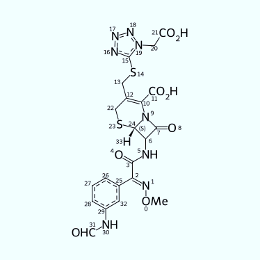 CON=C(C(=O)NC1C(=O)N2C(C(=O)O)=C(CSc3nnnn3CC(=O)O)CS[C@@H]12)c1cccc(NC=O)c1